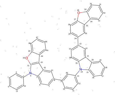 c1ccc(-n2c3ccc(-c4cccc(-n5c6ccccc6c6cc(-c7ccc8oc9ccccc9c8c7)ccc65)c4)cc3c3c4ccccc4oc32)cc1